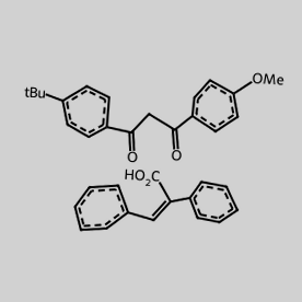 COc1ccc(C(=O)CC(=O)c2ccc(C(C)(C)C)cc2)cc1.O=C(O)/C(=C\c1ccccc1)c1ccccc1